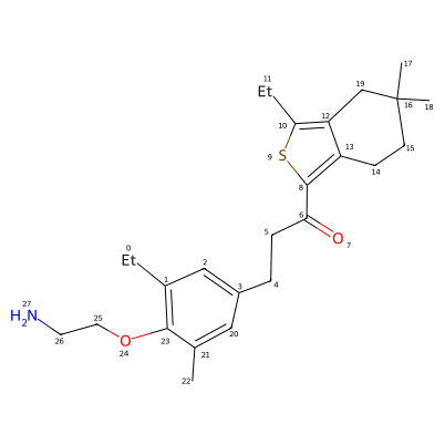 CCc1cc(CCC(=O)c2sc(CC)c3c2CCC(C)(C)C3)cc(C)c1OCCN